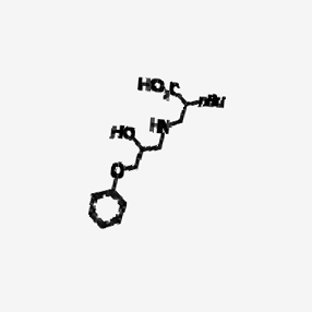 [CH2]CCCC(CNCC(O)COc1ccccc1)C(=O)O